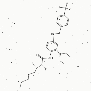 CCCCC[C@H](F)[C@@H](F)C(=O)Nc1ccc(NCc2ccc(C(F)(F)F)cc2)cc1N(CC)CC